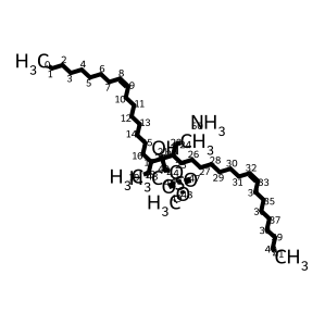 CCCCCCCC/C=C\CCCCCCCC(CC)C(O)(C(CC)CCCCCCC/C=C\CCCCCCCC)C(C)OS(=O)(=O)OC.N